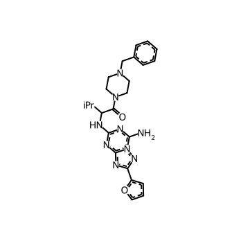 CC(C)C(Nc1nc(N)n2nc(-c3ccco3)nc2n1)C(=O)N1CCN(Cc2ccccc2)CC1